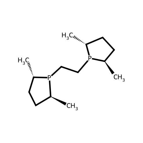 C[C@@H]1CC[C@@H](C)P1CCP1[C@@H](C)CC[C@@H]1C